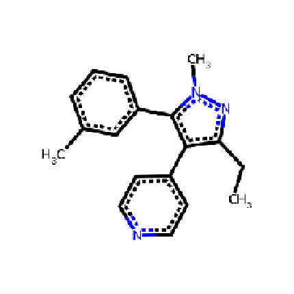 CCc1nn(C)c(-c2cccc(C)c2)c1-c1ccncc1